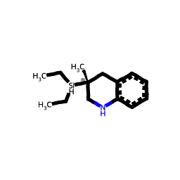 CC[SiH](CC)[C@@]1(C)CNc2ccccc2C1